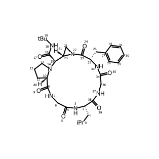 CC(C)C[C@@H]1NC(=O)CNC(=O)[C@@H]2CCCN2[C@@H](C(=O)NC(C)(C)C)[C@@H]2CN2C(=O)[C@H](Cc2ccccc2)NC(=O)CNC1=O